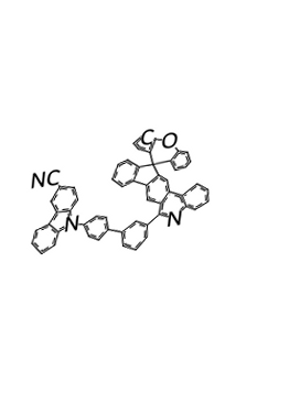 N#Cc1ccc2c(c1)c1ccccc1n2-c1ccc(-c2cccc(-c3nc4ccccc4c4cc5c(cc34)-c3ccccc3C53c4ccccc4Oc4ccccc43)c2)cc1